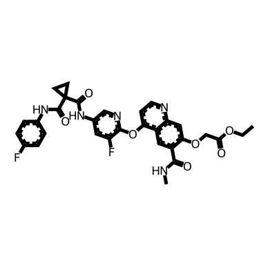 CCOC(=O)COc1cc2nccc(Oc3ncc(NC(=O)C4(C(=O)Nc5ccc(F)cc5)CC4)cc3F)c2cc1C(=O)NC